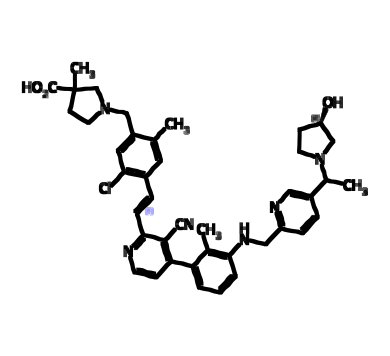 Cc1cc(/C=C/c2nccc(-c3cccc(NCc4ccc(C(C)N5CC[C@@H](O)C5)cn4)c3C)c2C#N)c(Cl)cc1CN1CCC(C)(C(=O)O)C1